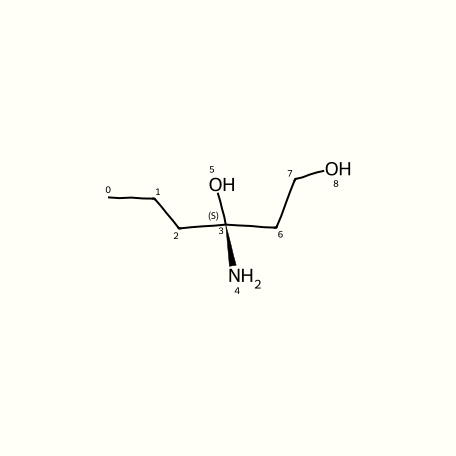 CCC[C@](N)(O)CCO